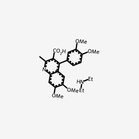 CCNCC.COc1ccc(-c2c(C(=O)O)c(C)nc3cc(OC)c(OC)cc23)cc1OC